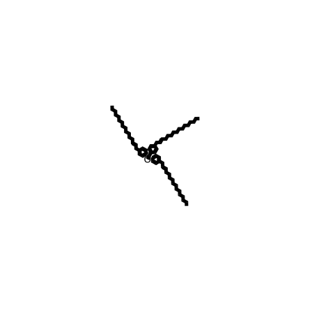 CCCCCCCCCCCCCC=CCc1ccc(P(=O)(c2ccc(CC=CCCCCCCCCCCCCC)cc2)c2ccc(CC=CCCCCCCCCCCCCC)cc2)cc1